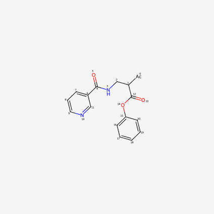 CC(=O)C(CNC(=O)c1cccnc1)C(=O)Oc1ccccc1